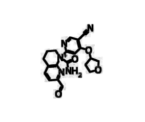 N#Cc1cnc([N+]2(C(N)=O)CCCc3ccc(C=O)nc32)cc1OC1CCOC1